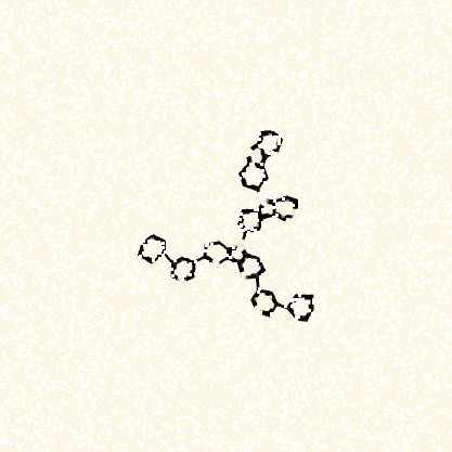 c1ccc(-c2cncc(C3=Nc4c(n(-c5ccc6c(c5)c5cnccc5n6-c5ccc6oc7ccccc7c6c5)c5ccc(-c6cncc(-c7ccccc7)c6)nc45)CC3)c2)cc1